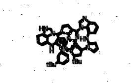 CC(C)(C)c1cccc(-n2cccc2Nc2cccc3c2N(c2nc4ncnc5nc(-n6cnc7cccc(Nc8cccn8-c8cccc(C(C)(C)C)c8)c76)c6ccc2c6n45)CN3)c1